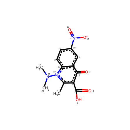 Cc1c(C(=O)O)c(=O)c2cc([N+](=O)[O-])ccc2n1N(C)C